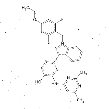 CCOc1cc(F)c(Cn2nc(-c3ncc(O)c(Nc4cc(C)nc(C)n4)n3)c3ccccc32)c(F)c1